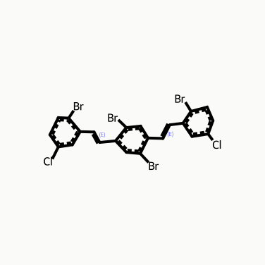 Clc1ccc(Br)c(/C=C/c2cc(Br)c(/C=C/c3cc(Cl)ccc3Br)cc2Br)c1